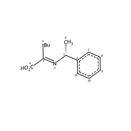 C[C@@H](N=C(C(=O)O)C(C)(C)C)c1ccccc1